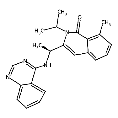 Cc1cccc2cc([C@H](C)Nc3ncnc4ccccc34)n(C(C)C)c(=O)c12